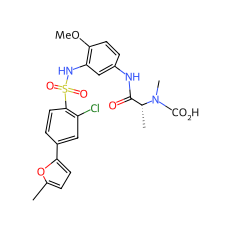 COc1ccc(NC(=O)[C@@H](C)N(C)C(=O)O)cc1NS(=O)(=O)c1ccc(-c2ccc(C)o2)cc1Cl